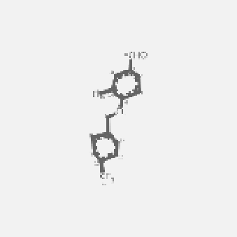 O=Cc1ccc(OCc2ccc(C(F)(F)F)cc2)c(Cl)c1